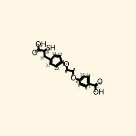 O=C(O)c1ccc(OCCOc2ccc(CC(S)C(=O)O)cc2)cc1